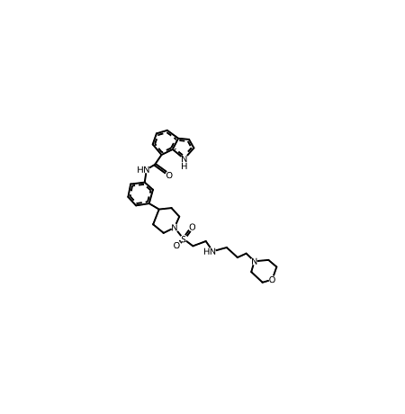 O=C(Nc1cccc(C2CCN(S(=O)(=O)CCNCCCN3CCOCC3)CC2)c1)c1cccc2cc[nH]c12